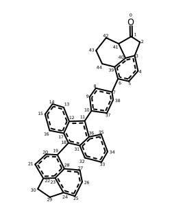 O=C1Cc2ccc(-c3ccc(-c4c5ccccc5c(-c5ccc6c7c(cccc57)CC6)c5ccccc45)cc3)c3c2C1CCC3